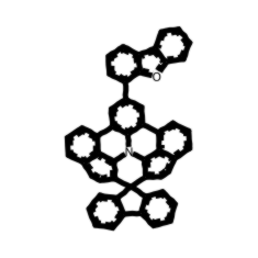 c1ccc2c(c1)-c1ccccc1C21c2ccc3cccc4c3c2N2c3c-4cc(-c4cccc5c4oc4ccccc45)cc3-c3cccc4ccc1c2c34